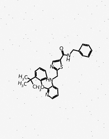 CC(C)(C)c1ccccc1Oc1ncccc1NCc1ncc(C(=O)NCc2ccccc2)s1